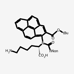 CCCCCCCCCC(=O)N(c1c(C(=O)OC(C)(C)C)cc2ccc3cccc4ccc1c2c34)[C@@H](CCCCN)C(=O)O